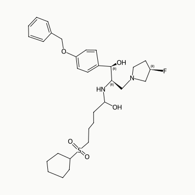 O=S(=O)(CCCCC(O)N[C@H](CN1CC[C@@H](F)C1)[C@H](O)c1ccc(OCc2ccccc2)cc1)C1CCCCC1